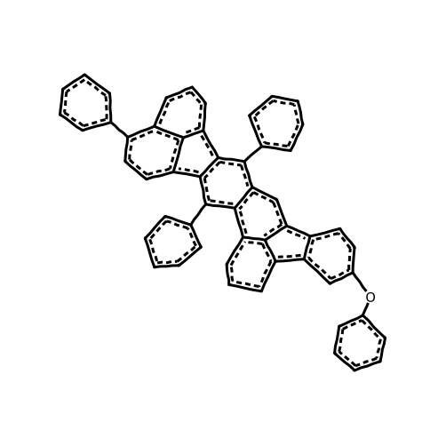 c1ccc(Oc2ccc3c(c2)c2cccc4c5c(-c6ccccc6)c6c7ccc(-c8ccccc8)c8cccc(c6c(-c6ccccc6)c5cc3c24)c87)cc1